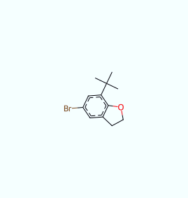 CC(C)(C)c1cc(Br)cc2c1OCC2